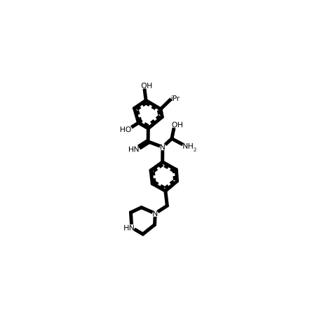 CC(C)c1cc(C(=N)N(c2ccc(CN3CCNCC3)cc2)C(N)O)c(O)cc1O